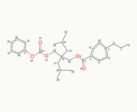 CCCc1ccc(C(=O)OCC(COC(=O)Oc2ccccc2)(CC(C)C)CC(C)C)cc1